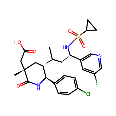 CC(C[C@H](NS(=O)(=O)C1CC1)c1cncc(Cl)c1)[C@H]1C[C@@](C)(CC(=O)O)C(=O)N[C@@H]1c1ccc(Cl)cc1